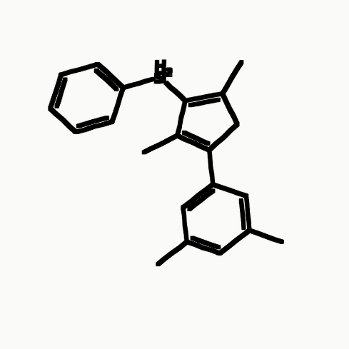 CC1=C([SiH2]c2ccccc2)C(C)=C(c2cc(C)cc(C)c2)C1